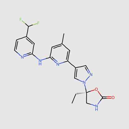 CC[C@@]1(n2cc(-c3cc(C)cc(Nc4cc(C(F)F)ccn4)n3)cn2)CNC(=O)O1